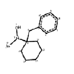 CC(=O)N(O)C1(Cc2ccccc2)CCCCC1